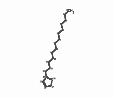 CCCCCCCCCCCCCCN1C=CCS1